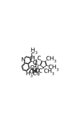 C[O][Ti]([O]C)([O]c1c(C)cnc2ccccc12)[C]1=C(C)C(C)=C(C)C1(C)C